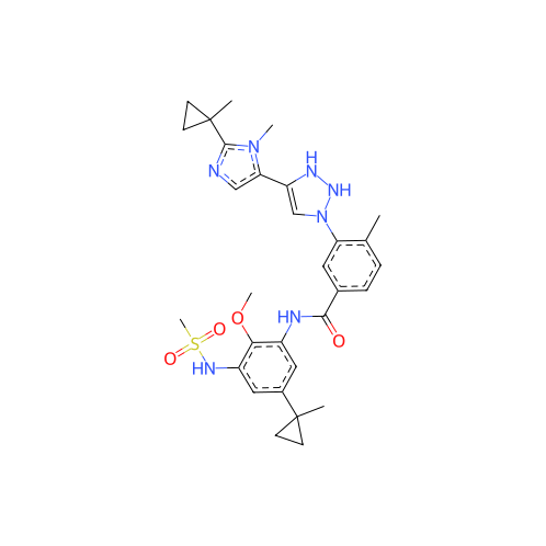 COc1c(NC(=O)c2ccc(C)c(N3C=C(c4cnc(C5(C)CC5)n4C)NN3)c2)cc(C2(C)CC2)cc1NS(C)(=O)=O